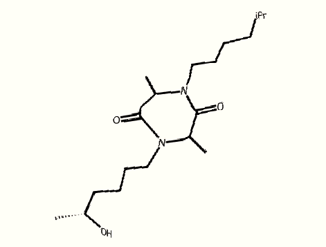 CC(C)CCCCN1C(=O)C(C)N(CCCC[C@@H](C)O)C(=O)C1C